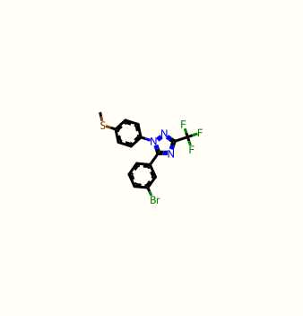 CSc1ccc(-n2nc(C(F)(F)F)nc2-c2cccc(Br)c2)cc1